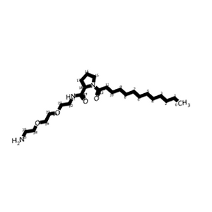 CCCCCCCCCCCCC(=O)N1CCCC1C(=O)NCCOCCOCCN